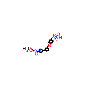 COCCNC(=O)c1ccc(-c2cccc(COc3ccc(Cn4oc(=O)[nH]c4=O)cc3)c2)cc1